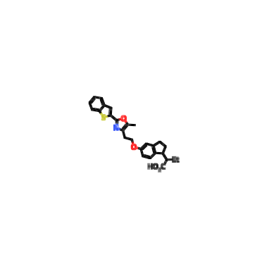 CCC(C(=O)O)C1CCc2cc(OCCc3nc(-c4cc5ccccc5s4)oc3C)ccc21